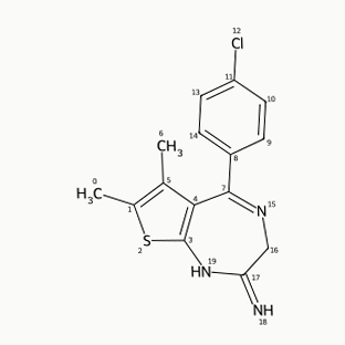 Cc1sc2c(c1C)C(c1ccc(Cl)cc1)=NCC(=N)N2